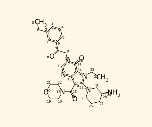 CCc1cccc(C(=O)Cn2cnc3c(C(=O)N4CCOCC4)c(N4CCC[C@H](N)C4)n(CC)c3c2=O)c1